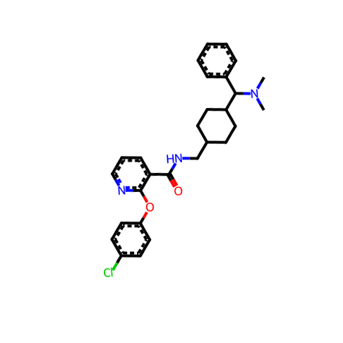 CN(C)C(c1ccccc1)C1CCC(CNC(=O)c2cccnc2Oc2ccc(Cl)cc2)CC1